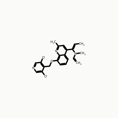 C=CN(C)/C(=C\C)c1cc(C)nc2c(OCc3c(Cl)cncc3Cl)cccc12